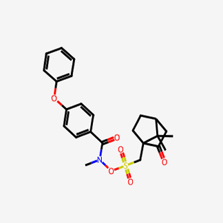 CN(OS(=O)(=O)CC12CCC(CC1=O)C2(C)C)C(=O)c1ccc(Oc2ccccc2)cc1